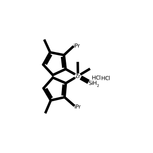 CC1=CC[C]([Zr]([CH3])([CH3])(=[SiH2])[C]2=C(C(C)C)C(C)=CC2)=C1C(C)C.Cl.Cl